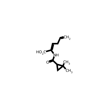 C=CC/C=C(\NC(=O)C1CC1(C)C)C(=O)O